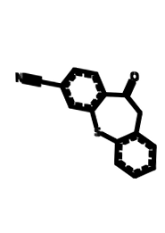 N#Cc1ccc2c(c1)Sc1ccccc1CC2=O